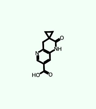 O=C(O)c1cnc2c(c1)NC(=O)C1(CC1)C2